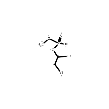 COP(O)(=S)OC(F)CCl